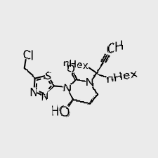 C#CC(CCCCCC)(CCCCCC)N1CCC(O)N(c2nnc(CCl)s2)C1=O